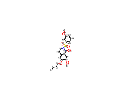 CCCCOc1cc2c(cc1OC)C(=O)N(S(=O)(=O)c1cccc(OC)c1)CC2